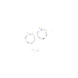 Cl.O=[SH](=O)O.c1ccnnc1.c1ccnnc1